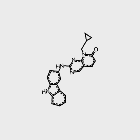 O=c1ccc2cnc(Nc3ccc4[nH]c5ccccc5c4c3)nc2n1CC1CC1